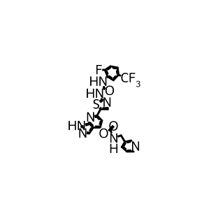 O=C(Nc1ncc(-c2cc(OC(=O)NCc3cccnc3)c3cn[nH]c3n2)s1)Nc1cc(C(F)(F)F)ccc1F